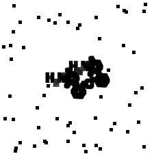 Cc1ccc(-c2ccccc2COCc2ccccc2-c2ccc(C)c(N)c2C)c(C)c1N